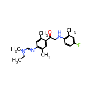 CCN(C)C=Nc1cc(C)c(C(=O)CNc2ccc(F)cc2C)cc1C